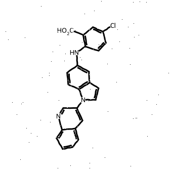 O=C(O)c1cc(Cl)ccc1Nc1ccc2c(ccn2-c2cnc3ccccc3c2)c1